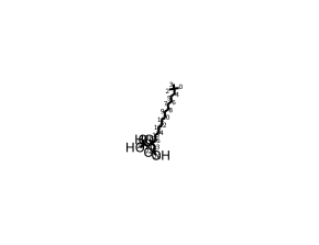 CC(C)(C)CCCCCCCCCCCCCC(O)(CC(=O)O)CC(=O)O